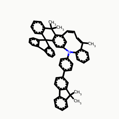 C/C1=C\C=C/c2cc(cc3c2C(C)(C)c2ccccc2C32c3ccccc3-c3ccccc32)N(c2ccc(-c3ccc4c(c3)C(C)(C)c3ccccc3-4)cc2)c2ccccc21